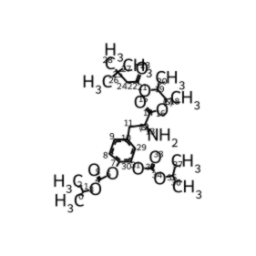 CC(C)OC(=O)Oc1ccc(C[C@H](N)C(=O)O[C@@H](C)C(C)OC(=O)CC(C)(C)C)cc1OC(=O)OC(C)C